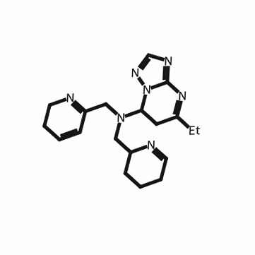 CCC1=Nc2ncnn2C(N(CC2=NCCC=C2)CC2CCCC=N2)C1